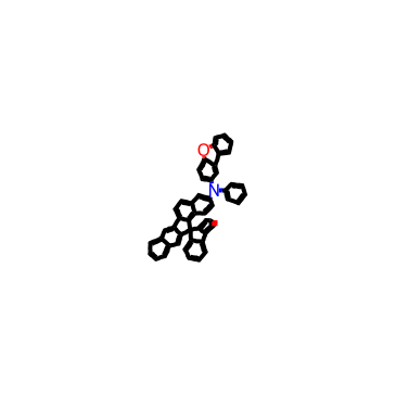 c1ccc(N(c2ccc3c4c(ccc3c2)-c2cc3ccccc3cc2C42c3ccccc3-c3ccccc32)c2ccc3oc4ccccc4c3c2)cc1